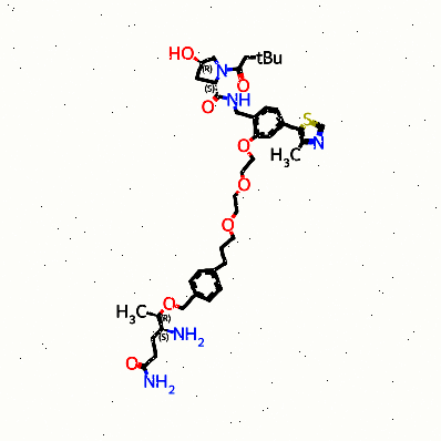 Cc1ncsc1-c1ccc(CNC(=O)[C@@H]2C[C@@H](O)CN2C(=O)CC(C)(C)C)c(OCCOCCOCCCc2ccc(CO[C@H](C)[C@@H](N)CCC(N)=O)cc2)c1